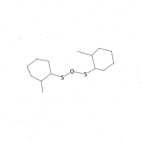 CC1CCCCC1SOSC1CCCCC1C